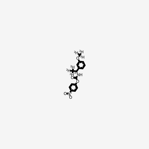 [2H]C([2H])([2H])Oc1cccc([C@H](NC(=O)Oc2ccc([N+](=O)[O-])cc2)C([2H])([2H])[2H])c1